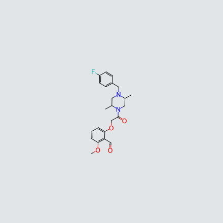 COc1cccc(OCC(=O)N2CC(C)N(Cc3ccc(F)cc3)CC2C)c1C=O